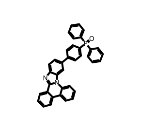 O=P(c1ccccc1)(c1ccccc1)c1ccc(-c2ccc3nc4c5ccccc5c5ccccc5n4c3c2)cc1